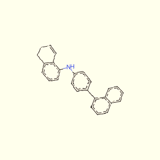 C1=Cc2c(cccc2Nc2ccc(-c3cccc4ccccc34)cc2)CC1